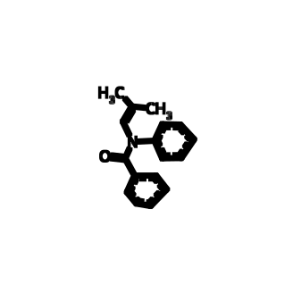 CC(C)=CN(C(=O)c1ccccc1)c1ccccc1